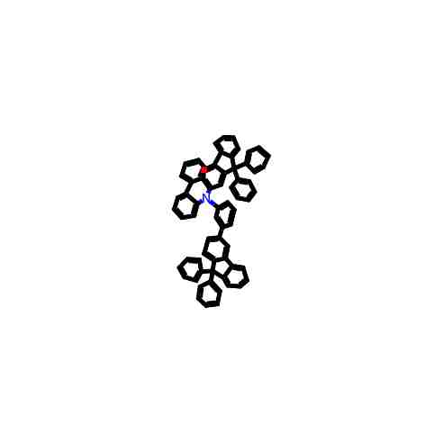 c1ccc(-c2ccccc2N(c2cccc(-c3ccc4c(c3)-c3ccccc3C4(c3ccccc3)c3ccccc3)c2)c2ccc3c(c2)C(c2ccccc2)(c2ccccc2)c2ccccc2-3)cc1